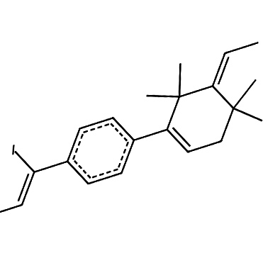 C/C=C(\I)c1ccc(C2=CCC(C)(C)/C(=C\C)C2(C)C)cc1